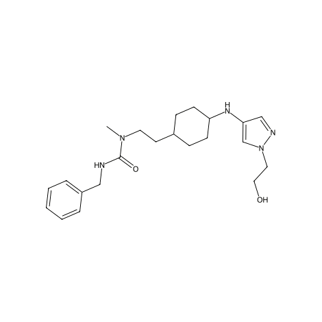 CN(CCC1CCC(Nc2cnn(CCO)c2)CC1)C(=O)NCc1ccccc1